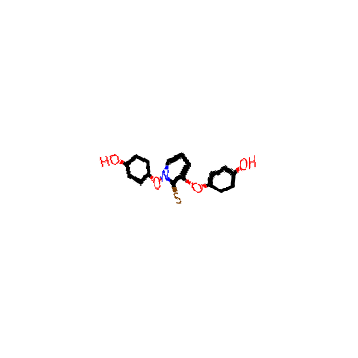 OC1CCC(Oc2cccn(OC3CCC(O)CC3)c2=S)CC1